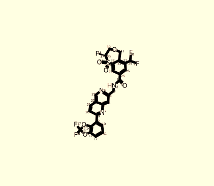 O=C(NCc1cc2nc(-c3cccc4c3OC(F)(F)O4)ccc2cn1)c1cc(C(F)F)c2c(c1)S(=O)(=O)[C@@H](F)COC2